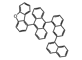 c1ccc2c(-c3ccc4cccc(-c5c6ccccc6c(-c6cccc7oc8ccccc8c67)c6ccccc56)c4c3)cccc2c1